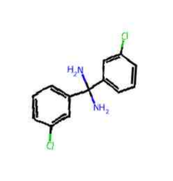 NC(N)(c1cccc(Cl)c1)c1cccc(Cl)c1